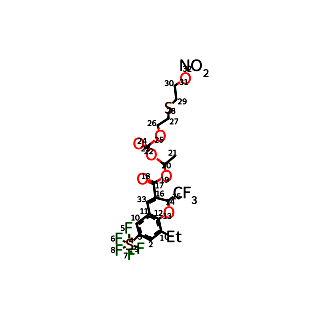 CCc1cc(S(F)(F)(F)(F)F)cc2c1OC(C(F)(F)F)C(C(=O)OC(C)OC(=O)OCCSCCO[N+](=O)[O-])=C2